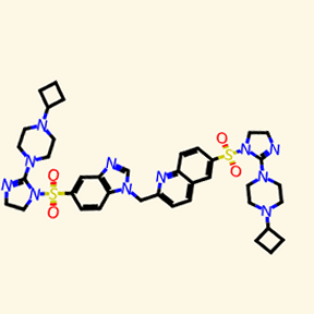 O=S(=O)(c1ccc2nc(Cn3cnc4cc(S(=O)(=O)N5CCN=C5N5CCN(C6CCC6)CC5)ccc43)ccc2c1)N1CCN=C1N1CCN(C2CCC2)CC1